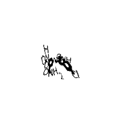 NC(=O)c1cc(NCc2cc3cc(Cl)ccc3[nH]c2=O)cc2[nH]c(=O)oc12